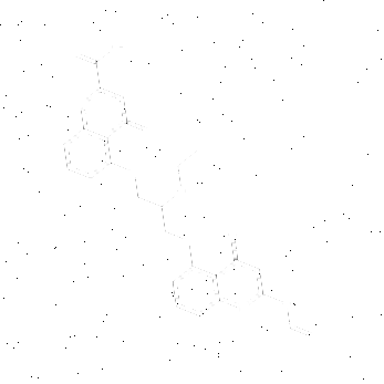 CCOC(COc1cccc2oc(OC=O)cc(=O)c12)COc1cccc2oc(C(=O)O)cc(=O)c12